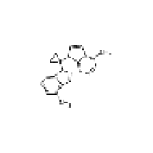 Cc1cccc2c1C=C[CH]2[Ti]1([CH]2C=Cc3c(C)cccc32)[CH2][CH2]1